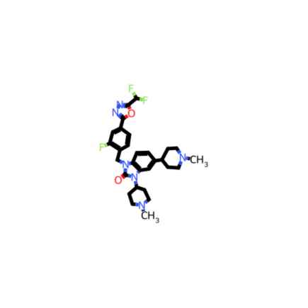 CN1CCC(c2ccc3c(c2)n(C2CCN(C)CC2)c(=O)n3Cc2ccc(-c3nnc(C(F)F)o3)cc2F)CC1